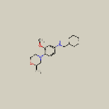 COc1cc(NCC2CCCCC2)ccc1N1CCOC(C)C1